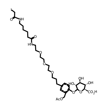 CC(=O)OCc1cc(CCCOCCOCCOCCNC(=O)CCCCCNC(=O)CI)ccc1OC1O[C@H](C(=O)O)[C@@H](O)[C@H](O)[C@H]1O